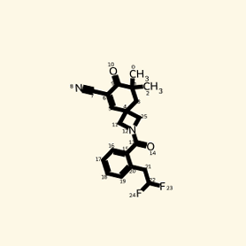 CC1(C)CC2(C=C(C#N)C1=O)CN(C(=O)c1ccccc1CC(F)F)C2